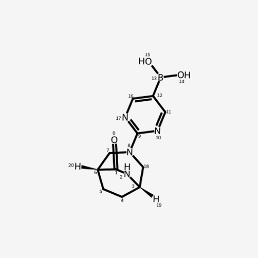 O=C1N[C@H]2CC[C@@H]1CN(c1ncc(B(O)O)cn1)C2